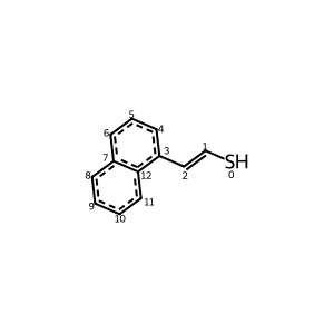 S/C=C/c1cccc2ccccc12